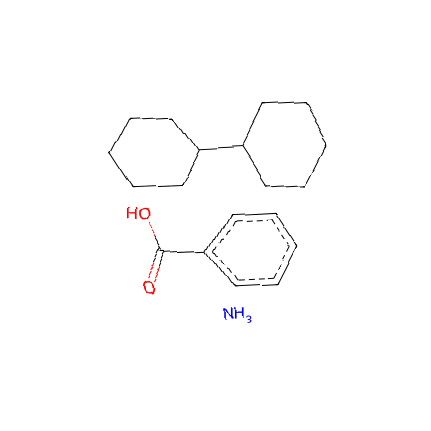 C1CCC(C2CCCCC2)CC1.N.O=C(O)c1ccccc1